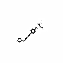 C[C@@H](N)[C@H](NC(=O)c1ccc(C#CC#CCC2CCCC2)cc1)C(=O)NO